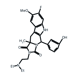 CCN(CC)CCN1C(=O)N2C(c3cccc(O)c3)c3[nH]c4cc(F)c(OC)cc4c3CC2(C)C1=O